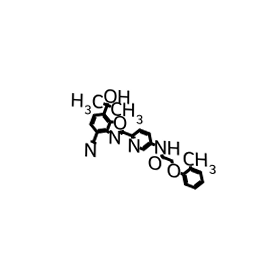 Cc1ccccc1OCC(=O)Nc1ccc(-c2nc3c(C#N)ccc(C(C)(C)O)c3o2)nc1